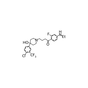 CCNc1ccc(C(=O)CCCN2CCC(O)(c3ccc(Cl)c(C(F)(F)F)c3)CC2)c(F)c1